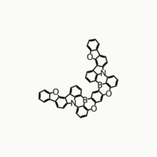 c1cc2c3c(c1)-n1c4ccc5c6ccccc6oc5c4c4cccc(c41)B3c1cc3c(cc1O2)Oc1cccc2c1B3c1cccc3c4c5oc6ccccc6c5ccc4n-2c13